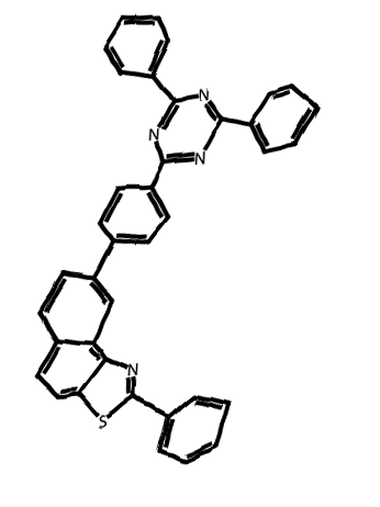 c1ccc(-c2nc(-c3ccccc3)nc(-c3ccc(-c4ccc5ccc6sc(-c7ccccc7)nc6c5c4)cc3)n2)cc1